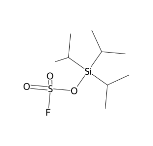 CC(C)[Si](OS(=O)(=O)F)(C(C)C)C(C)C